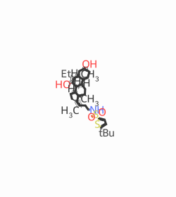 CC[C@H]1[C@@H](O)[C@@H]2[C@H](CC[C@]3(C)[C@@H]([C@H](C)CCNS(=O)(=O)c4ccc(C(C)(C)C)s4)CC[C@@H]23)[C@@]2(C)CC[C@@H](O)C[C@@H]12